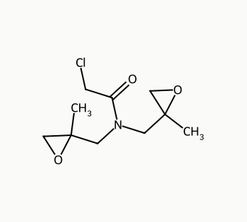 CC1(CN(CC2(C)CO2)C(=O)CCl)CO1